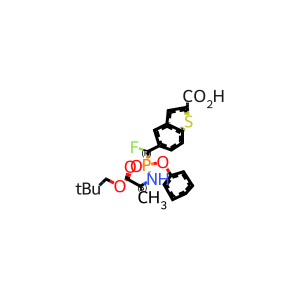 C[C@H](NP(=O)(Oc1ccccc1)[C@@H](F)c1ccc2sc(C(=O)O)cc2c1)C(=O)OCC(C)(C)C